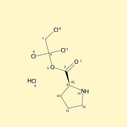 Cl.O=C(OC(Cl)(Cl)CCl)[C@@H]1CCCN1